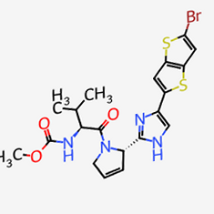 COC(=O)N[C@H](C(=O)N1CC=C[C@H]1c1nc(-c2cc3sc(Br)cc3s2)c[nH]1)C(C)C